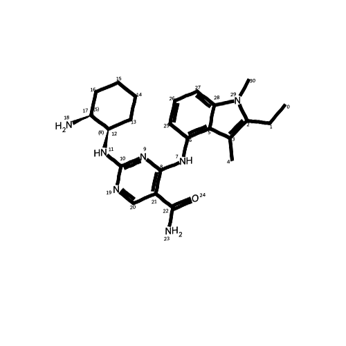 CCc1c(C)c2c(Nc3nc(N[C@@H]4CCCC[C@@H]4N)ncc3C(N)=O)cccc2n1C